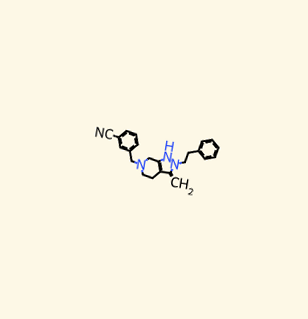 C=C1C2=C(CN(Cc3cccc(C#N)c3)CC2)NN1CCc1ccccc1